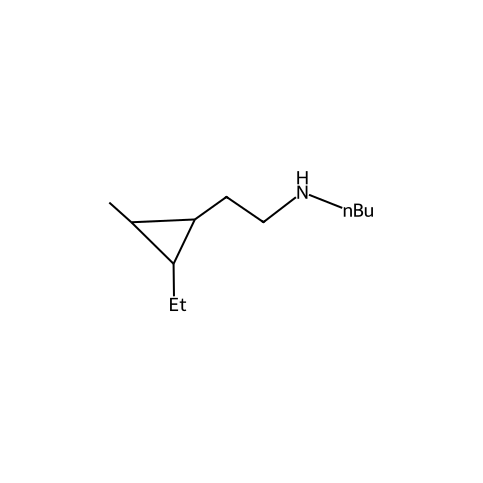 CCCCNCCC1C(C)C1CC